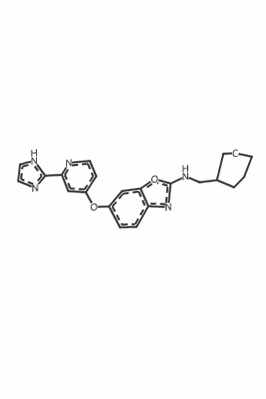 c1cc(Oc2ccc3nc(NCC4CCCCC4)oc3c2)cc(-c2ncc[nH]2)n1